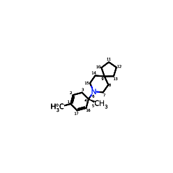 CC1=CC[C@](C)(N2CCC3(CCCC3)CC2)C=C1